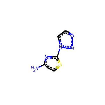 Nc1csc(-n2ccnn2)n1